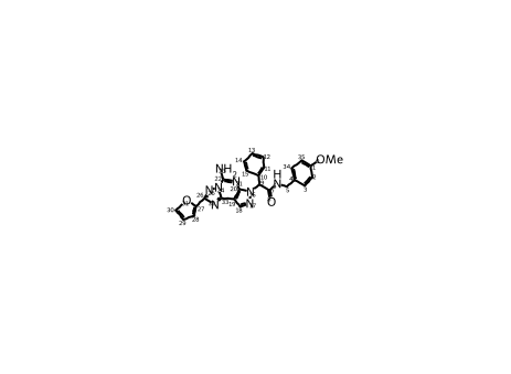 COc1ccc(CNC(=O)C(c2ccccc2)n2ncc3c2nc(N)n2nc(-c4ccco4)nc32)cc1